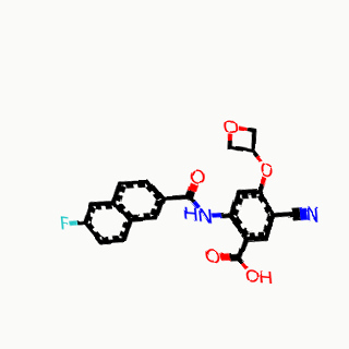 N#Cc1cc(C(=O)O)c(NC(=O)c2ccc3cc(F)ccc3c2)cc1OC1COC1